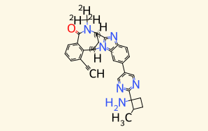 [2H]C([2H])([2H])N1C(=O)c2cccc(C#C)c2[C@H]2C[C@@H]1c1nc3ccc(-c4cnc(C5(N)CCC5C)nc4)cc3n12